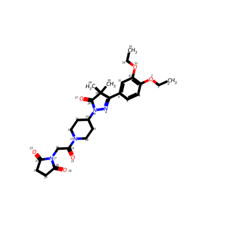 CCOc1ccc(C2=NN(C3CCN(C(=O)CN4C(=O)CCC4=O)CC3)C(=O)C2(C)C)cc1OCC